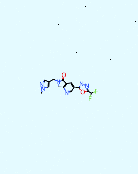 Cn1cc(CN2Cc3ncc(-c4nnc(C(F)F)o4)cc3C2=O)cn1